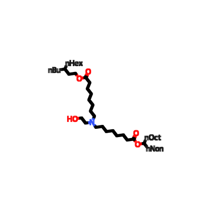 CCCCCCCCCC(CCCCCCCC)OC(=O)CCCCCCCN(CCO)CCCCCCCC(=O)OCCC(CCCC)CCCCCC